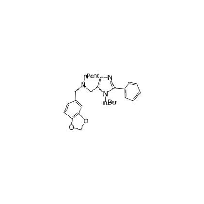 CCCCCN(Cc1ccc2c(c1)OCO2)Cc1cnc(-c2ccccc2)n1CCCC